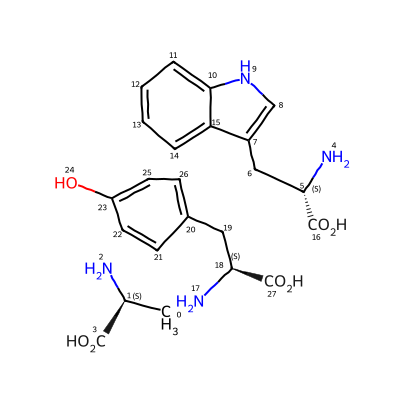 C[C@H](N)C(=O)O.N[C@@H](Cc1c[nH]c2ccccc12)C(=O)O.N[C@@H](Cc1ccc(O)cc1)C(=O)O